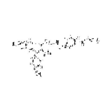 C=CC(=O)Oc1ccc(/C=C/c2ccc(N(c3ccc(C)cc3)c3ccc(C)cc3)cc2)cc1